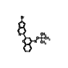 CC(C)(C)ON=c1cc(-c2cc3cc(Br)cn3cn2)oc2ccccc12